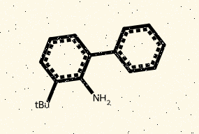 CC(C)(C)c1cccc(-c2ccccc2)c1N